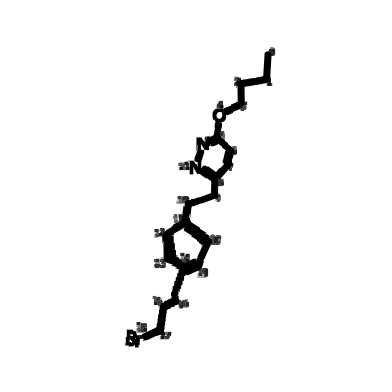 CCCCOc1ccc(CCc2ccc(CCCBr)cc2)nn1